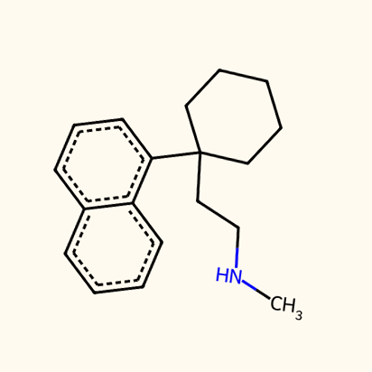 CNCCC1(c2cccc3ccccc23)CCCCC1